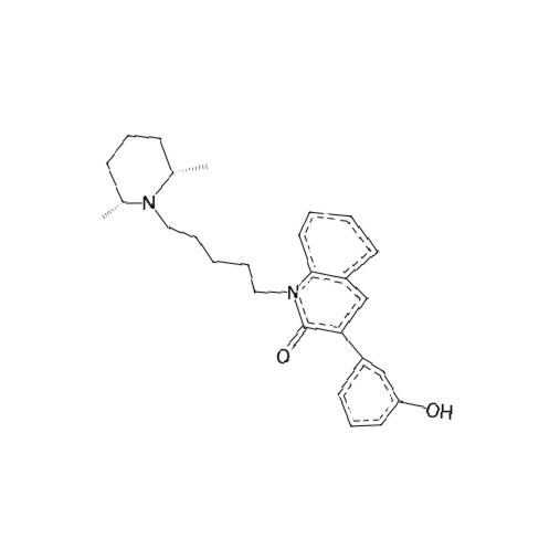 C[C@@H]1CCC[C@H](C)N1CCCCCn1c(=O)c(-c2cccc(O)c2)cc2ccccc21